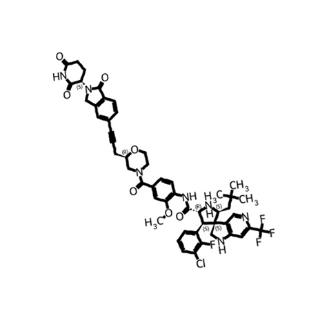 COc1cc(C(=O)N2CCO[C@H](CC#Cc3ccc4c(c3)CN([C@H]3CCC(=O)NC3=O)C4=O)C2)ccc1NC(=O)[C@@H]1N[C@@H](CC(C)(C)C)[C@@]2(CNc3cc(C(F)(F)F)ncc32)[C@H]1c1cccc(Cl)c1F